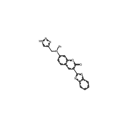 CC(C)N(Cc1c[nH]nn1)c1ccc2cc(-c3nc4ccccc4s3)c(=O)oc2c1